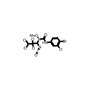 CON(C(=O)Nc1ccc(Br)c(Cl)c1)C(N=C=O)C(Cl)(Cl)C(Cl)Cl